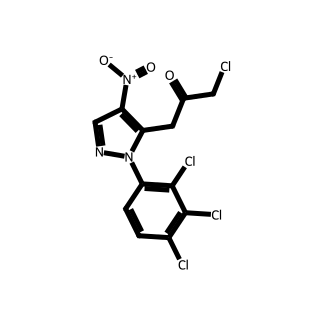 O=C(CCl)Cc1c([N+](=O)[O-])cnn1-c1ccc(Cl)c(Cl)c1Cl